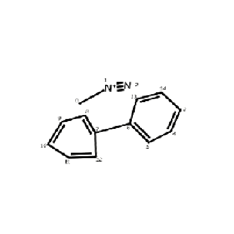 C[N+]#N.c1ccc(-c2ccccc2)cc1